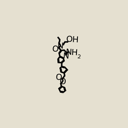 CCCN(CCCO)C(=O)C1=Cc2ccc(-c3ccc(CC(=O)OCc4ccccc4)cc3)cc2N=C(N)C1